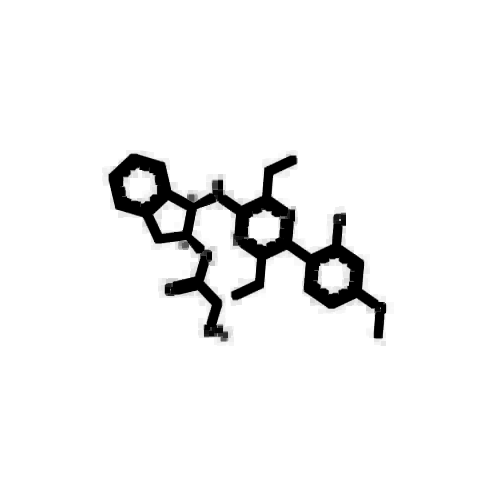 CCc1nc(-c2ccc(OC)cc2Cl)c(CC)nc1N[C@@H]1c2ccccc2C[C@@H]1OC(=O)CN